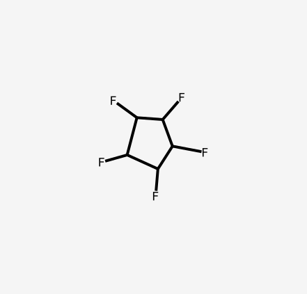 FC1C(F)C(F)C(F)C1F